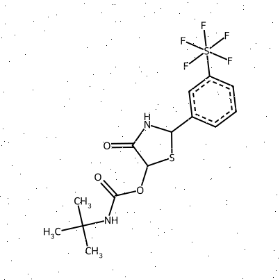 CC(C)(C)NC(=O)OC1SC(c2cccc(S(F)(F)(F)(F)F)c2)NC1=O